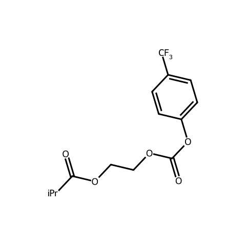 CC(C)C(=O)OCCOC(=O)Oc1ccc(C(F)(F)F)cc1